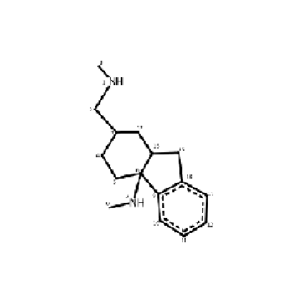 CNCC1CCC2(NC)c3ccccc3CC2C1